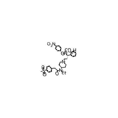 CCN(C(=O)Cc1ccc(S(C)(=O)=O)cc1)C1CCN(CC[C@@H](c2ccccc2)N(Oc2ccc([N+](=O)[O-])cc2)C(=O)O)CC1